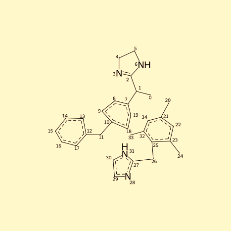 CC(C1=NCCN1)c1ccc(Cc2ccccc2)cc1.Cc1cc(C)c(Cc2ncc[nH]2)c(C)c1